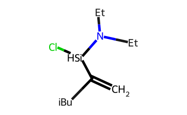 C=C(C(C)CC)[SiH](Cl)N(CC)CC